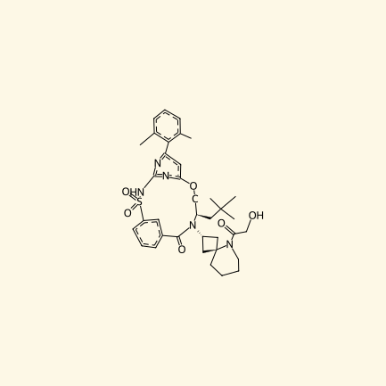 Cc1cccc(C)c1-c1cc2nc(n1)NS(=O)(=O)c1cccc(c1)C(=O)N([C@H]1C[C@@]3(CCCCN3C(=O)CO)C1)[C@H](CC(C)(C)C)CO2